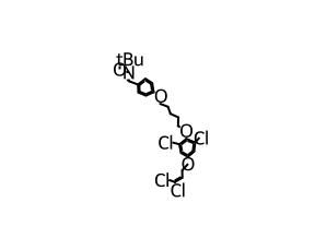 CC(C)(C)O/N=C/c1ccc(OCCCCCOc2c(Cl)cc(OCC=C(Cl)Cl)cc2Cl)cc1